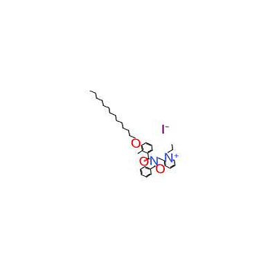 CCCCCCCCCCCCCCOc1cccc(C(=O)N(Cc2cccc[n+]2CCC)C(=O)c2ccccc2)c1C.[I-]